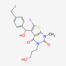 Cn1c(=O)n(CCCO)c(=O)c2c(C(O)c3ccc(CI)cc3)c(I)sc21